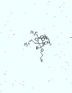 C=CCC(OC(=C)C)(C(=C)C)C(F)(F)OCCCF